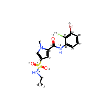 Cn1cc(S(=O)(=O)NCC(F)(F)F)cc1C(=O)Nc1cccc(Br)c1F